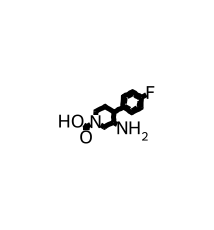 NC1CN(C(=O)O)CCC1c1ccc(F)cc1